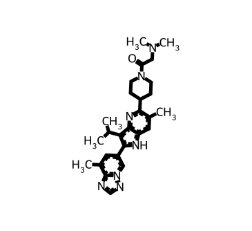 Cc1cc2[nH]c(-c3cc(C)c4ncnn4c3)c(C(C)C)c2nc1C1CCN(C(=O)CN(C)C)CC1